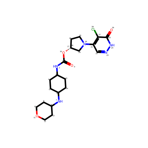 O=C(NC1CCC(NC2CCOCC2)CC1)O[C@@H]1CCN(c2cn[nH]c(=O)c2Cl)C1